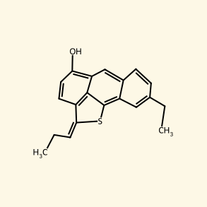 CCC=c1sc2c3cc(CC)ccc3cc3c(O)ccc1c32